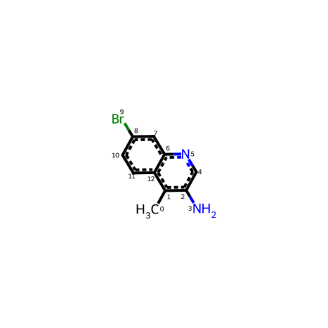 Cc1c(N)cnc2cc(Br)ccc12